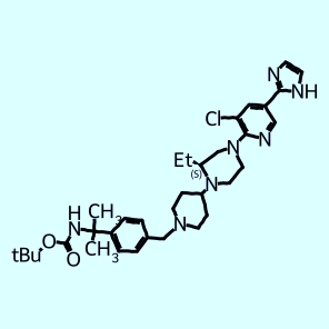 CC[C@H]1CN(c2ncc(-c3ncc[nH]3)cc2Cl)CCN1C1CCN(Cc2ccc(C(C)(C)NC(=O)OC(C)(C)C)cc2)CC1